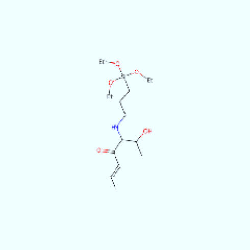 CC=CC(=O)C(NCCC[Si](OCC)(OCC)OCC)C(C)O